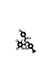 CC(=O)Nc1c(Cl)cc(Cl)c(F)c1C(=O)N(Cc1ccc(C2CC2)cc1)C[C@H](O)c1ccc(Cl)cc1